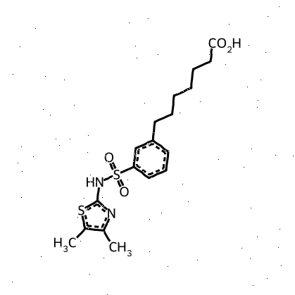 Cc1nc(NS(=O)(=O)c2cccc(CCCCCCC(=O)O)c2)sc1C